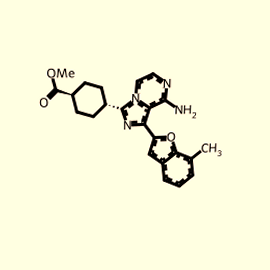 COC(=O)[C@H]1CC[C@H](c2nc(-c3cc4cccc(C)c4o3)c3c(N)nccn32)CC1